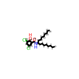 CCCCCCCCC(CCCCCCCC)NC(=O)c1cc(Cl)cc(Cl)c1O